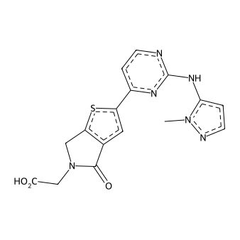 Cn1nccc1Nc1nccc(-c2cc3c(s2)CN(CC(=O)O)C3=O)n1